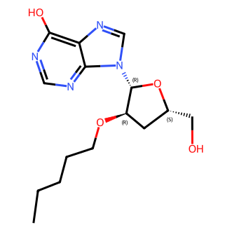 CCCCCO[C@@H]1C[C@@H](CO)O[C@H]1n1cnc2c(O)ncnc21